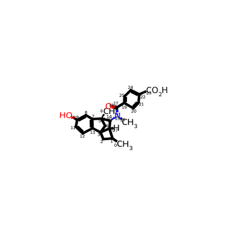 CC1CC23C[C@](C)(c4cc(O)ccc42)[C@@H](N(C)C(=O)c2ccc(C(=O)O)cc2)[C@H]13